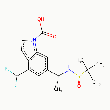 C[C@@H](N[S@+]([O-])C(C)(C)C)c1cc(C(F)F)c2ccn(C(=O)O)c2c1